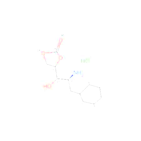 Cl.N[C@@H](CC1CCCCC1)C(O)C1COC(=O)O1